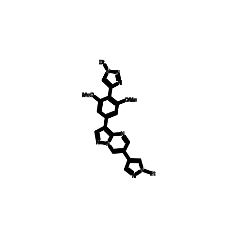 CCn1cc(-c2cnc3c(-c4cc(OC)c(-c5cn(CC)nn5)c(OC)c4)cnn3c2)cn1